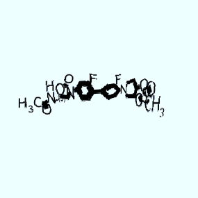 CC(=O)NC[C@H]1CN(c2ccc(-c3ccc(N4CCC(OS(C)(=O)=O)CC4)c(F)c3)c(F)c2)C(=O)O1